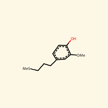 COc1cc(CCCSC)ccc1O